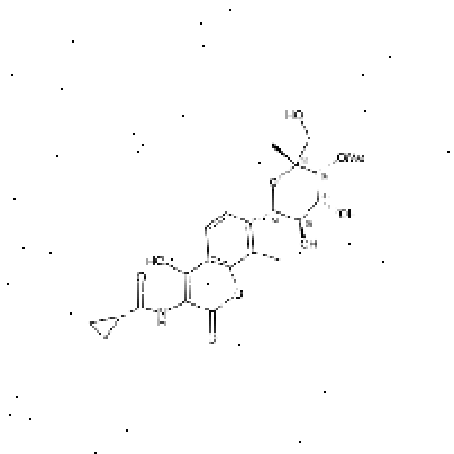 CO[C@@H]1[C@H](O)[C@@H](O)[C@H](c2ccc3c(O)c(NC(=O)C4CC4)c(=O)oc3c2C)O[C@]1(C)CO